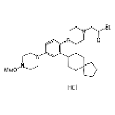 CCC(=O)CN1CCN(c2ccc(N3CCN(OC)CC3)cc2C2CCC3(CCCC3)CC2)CC1.Cl